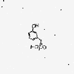 O=[PH](O)Cc1cccc(O)c1